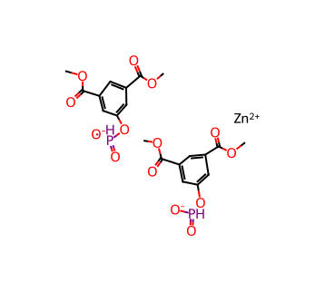 COC(=O)c1cc(O[PH](=O)[O-])cc(C(=O)OC)c1.COC(=O)c1cc(O[PH](=O)[O-])cc(C(=O)OC)c1.[Zn+2]